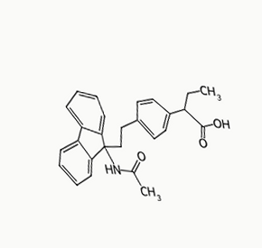 CCC(C(=O)O)c1ccc(CCC2(NC(C)=O)c3ccccc3-c3ccccc32)cc1